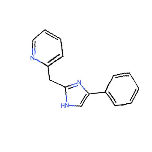 c1ccc(-c2c[nH]c(Cc3ccccn3)n2)cc1